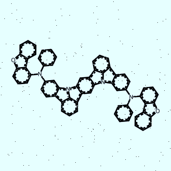 c1ccc(N(c2ccc3c4cccc5c6cc7c(cc6n(c3c2)c45)c2cccc3c4ccc(N(c5ccccc5)c5cccc6oc8ccccc8c56)cc4n7c32)c2cccc3oc4ccccc4c23)cc1